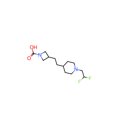 O=C(O)N1CC(CCC2CCN(CC(F)F)CC2)C1